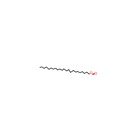 CCCCCCCCCCCCCCCCCCCCCCCO[C]=O